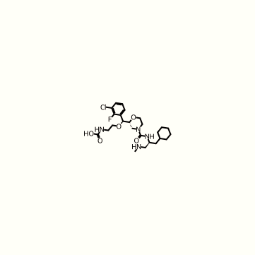 CNC[C@H](CC1CCCCC1)NC(=O)N1CCO[C@@H]([C@@H](OCCNC(=O)O)c2cccc(Cl)c2F)C1